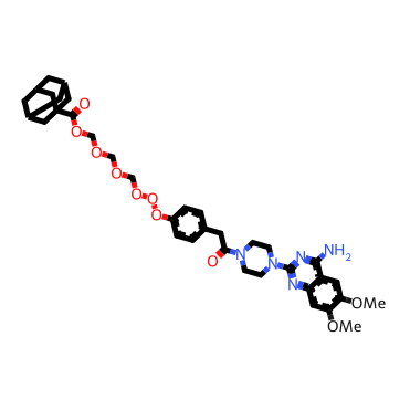 COc1cc2nc(N3CCN(C(=O)Cc4ccc(OOOCOCOCOC(=O)C56CC7CC(CC(C7)C5)C6)cc4)CC3)nc(N)c2cc1OC